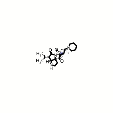 CC(C)[C@H]1C(=O)N(S(C)(=O)=O)[C@@]2(C(=O)/C=C/CN3CCCCC3)CCN[C@H]12